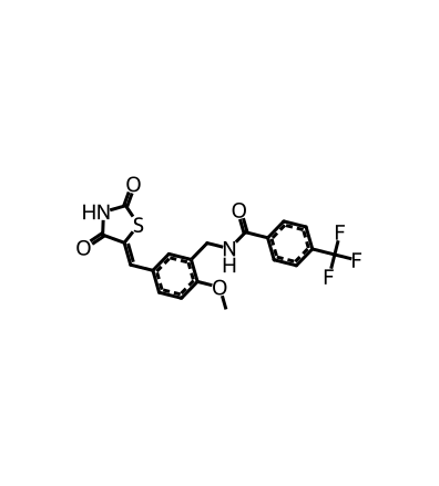 COc1ccc(/C=C2\SC(=O)NC2=O)cc1CNC(=O)c1ccc(C(F)(F)F)cc1